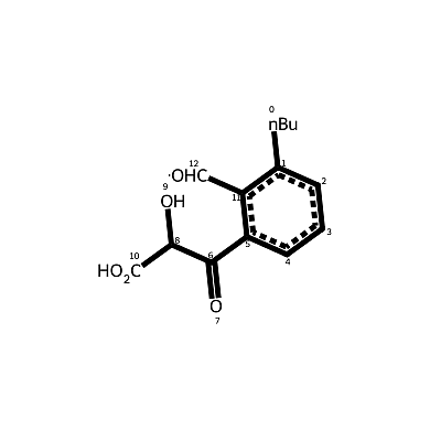 CCCCc1cccc(C(=O)C(O)C(=O)O)c1[C]=O